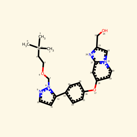 C[Si](C)(C)CCOCn1nccc1-c1ccc(Oc2ccn3cc(CO)nc3c2)cc1